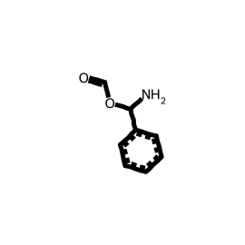 NC(OC=O)c1ccccc1